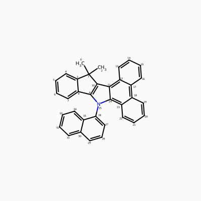 CC1(C)c2ccccc2-c2c1c1c3ccccc3c3ccccc3c1n2-c1cccc2ccccc12